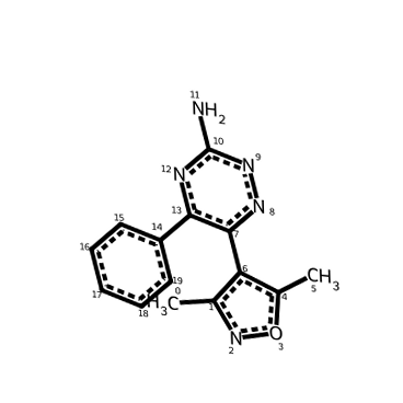 Cc1noc(C)c1-c1nnc(N)nc1-c1ccccc1